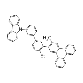 CCc1ccc(-c2cccc(-n3c4ccccc4c4ccccc43)c2)cc1-c1cc2c3ccccc3c3ccccc3c2cc1C